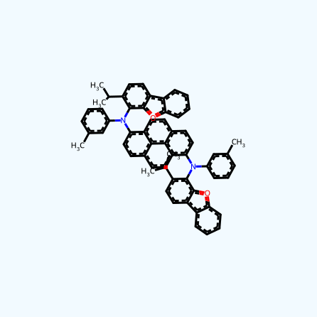 Cc1cccc(N(c2ccc3ccc4c(N(c5cccc(C)c5)c5c(C(C)C)ccc6c5oc5ccccc56)ccc5ccc2c3c54)c2c(C(C)C)ccc3c2oc2ccccc23)c1